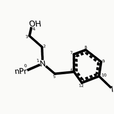 CCCN(CCO)Cc1cccc(I)c1